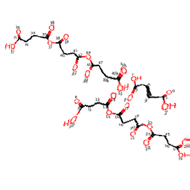 O=C(O)/C=C/C(=O)O.O=C(O)CCC(=O)OC(=O)CCC(=O)OC(=O)CCC(=O)O.O=C(O)CCC(=O)OC(=O)CCC(=O)OC(=O)CCC(=O)O